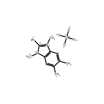 Cc1cc2c(cc1C)[n+](C)c(C(C)C)n2C.[O-][Cl+3]([O-])([O-])[O-]